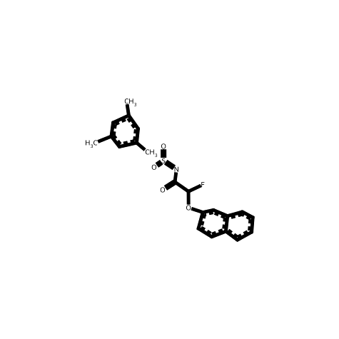 Cc1cc(C)cc(C)c1.O=C(N=S(=O)=O)C(F)Oc1ccc2ccccc2c1